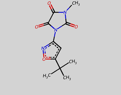 CN1C(=O)C(=O)N(c2cc(C(C)(C)C)on2)C1=O